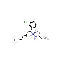 CCCCCC(c1ccccc1)[N+](C)(C)NCCC.[Cl-]